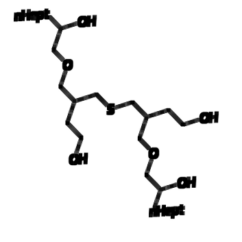 CCCCCCCC(O)COCC(CCO)CSCC(CCO)COCC(O)CCCCCCC